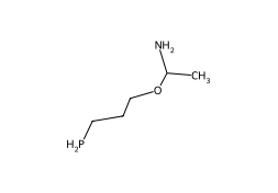 CC(N)OCCCP